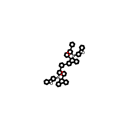 c1ccc(-c2cccc(N(c3ccc4oc5ccccc5c4c3)c3c(-c4ccccc4)c4cc(-c5cccc(-c6ccc(N(c7ccc8c(c7)oc7ccccc78)c7c(-c8ccccc8)c8ccccc8c8ccccc78)cc6)c5)ccc4c4ccccc34)c2)cc1